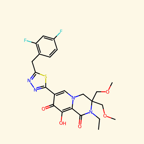 CCN1C(=O)c2c(O)c(=O)c(-c3nnc(Cc4ccc(F)cc4F)s3)cn2CC1(COC)COC